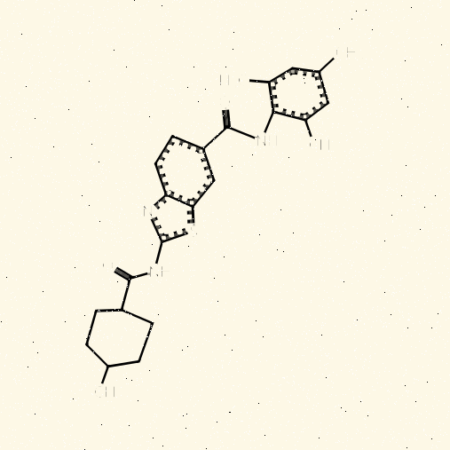 Cc1cc(C)c(NC(=O)c2ccc3nc(NC(=O)C4CCC(C)CC4)sc3c2)c(C)c1